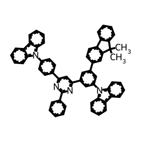 CC1(C)c2ccccc2-c2ccc(-c3cc(-c4cc(-c5ccc(-n6c7ccccc7c7ccccc76)cc5)nc(-c5ccccc5)n4)cc(-n4c5ccccc5c5ccccc54)c3)cc21